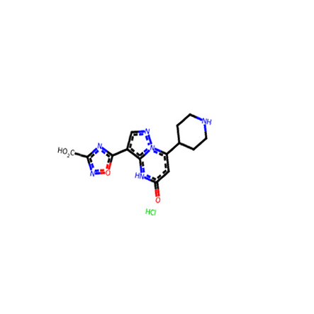 Cl.O=C(O)c1noc(-c2cnn3c(C4CCNCC4)cc(=O)[nH]c23)n1